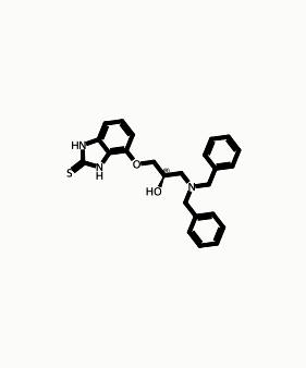 O[C@@H](COc1cccc2[nH]c(=S)[nH]c12)CN(Cc1ccccc1)Cc1ccccc1